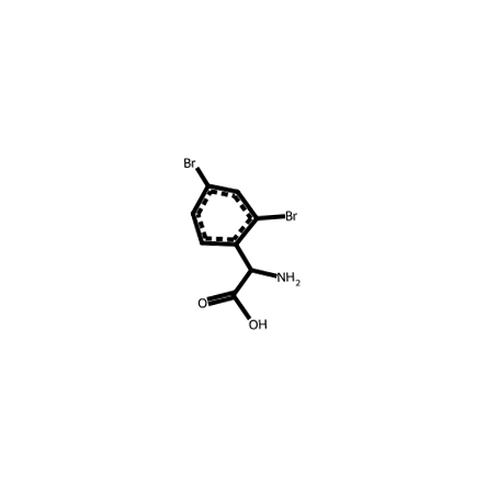 NC(C(=O)O)c1ccc(Br)cc1Br